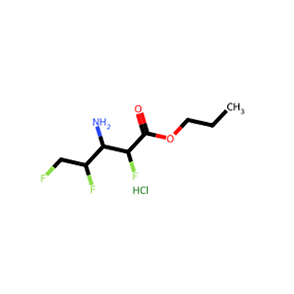 CCCOC(=O)C(F)C(N)C(F)CF.Cl